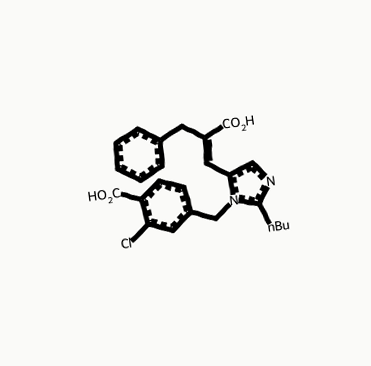 CCCCc1ncc(C=C(Cc2ccccc2)C(=O)O)n1Cc1ccc(C(=O)O)c(Cl)c1